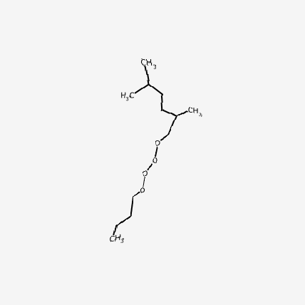 CCCCOOOOCC(C)CCC(C)C